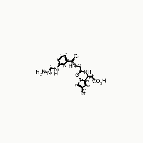 NN=CNc1cccc(C(=O)NCC(=O)NC(CC(=O)O)c2cc(Br)cs2)c1